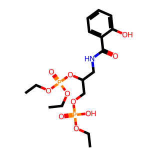 CCOP(=O)(O)OCC(CNC(=O)c1ccccc1O)OP(=O)(OCC)OCC